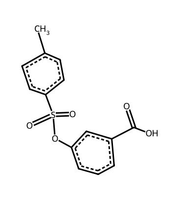 Cc1ccc(S(=O)(=O)Oc2cccc(C(=O)O)c2)cc1